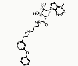 Cc1ncnc2c1ccn2[C@@H]1C[C@H](C(=O)NCCCNCCc2cccc(Oc3ccccc3)c2)[C@@H](O)[C@H]1O